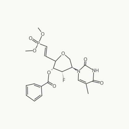 COP(=O)(/C=C/C1OC[C@@H](n2cc(C)c(=O)[nH]c2=O)[C@H](F)[C@@H]1OC(=O)c1ccccc1)OC